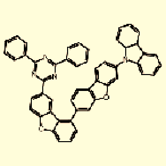 C1=CC2c3ccccc3N(c3ccc4c(c3)oc3cc(-c5cccc6oc7ccc(-c8nc(-c9ccccc9)nc(-c9ccccc9)n8)cc7c56)ccc34)C2C=C1